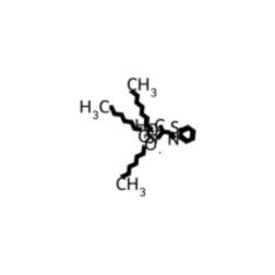 [CH2]C(C[Si](OCCCCCCCC)(OCCCCCCCC)OCCCCCCCC)c1nc2ccccc2s1